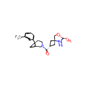 O=C([C@H]1C[C@]2(COC(O)N2)C1)N1CCC2(c3cccc(C(F)(F)F)c3)CC2C1